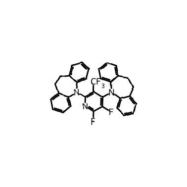 Fc1nc(N2c3ccccc3CCc3ccccc32)c(C(F)(F)F)c(N2c3ccccc3CCc3ccccc32)c1F